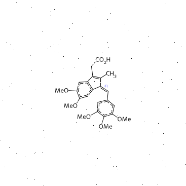 COc1cc2c(cc1OC)/C(=C\c1cc(OC)c(OC)c(OC)c1)C(C)=C2CC(=O)O